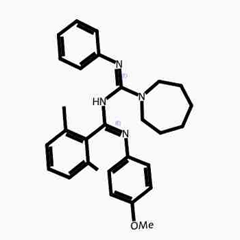 COc1ccc(/N=C(/N/C(=N\c2ccccc2)N2CCCCCC2)c2c(C)cccc2C)cc1